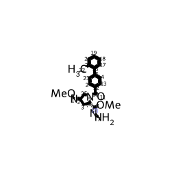 CON=C1C[C@@H](/C(=N/N)OC)N(C(=O)c2ccc(-c3ccccc3C)cc2)C1